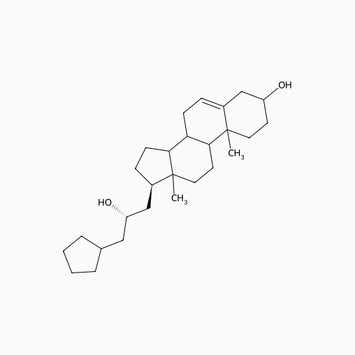 CC12CCC(O)CC1=CCC1C2CCC2(C)C1CC[C@@H]2C[C@@H](O)CC1CCCC1